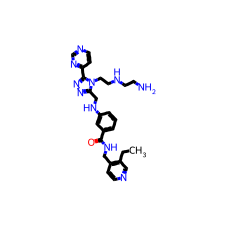 CCc1cnccc1CNC(=O)c1cccc(NCc2nnc(-c3ccncn3)n2CCNCCN)c1